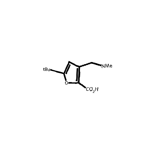 CNCc1cc(C(C)(C)C)oc1C(=O)O